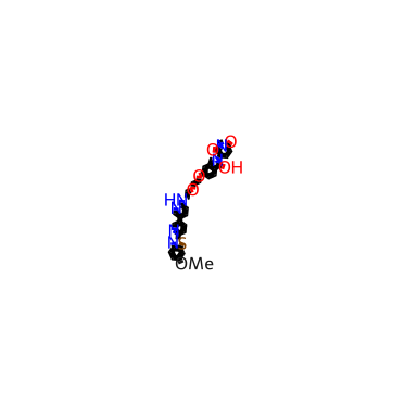 COc1ccc2nc(-c3ccc(-c4ccc(NCCOCCOc5ccc6c(c5)CN(C5CCC(=O)N(C)C5=O)C6O)nc4)cn3)sc2c1